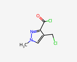 Cn1cc(CCl)c(C(=O)Cl)n1